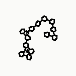 c1ccc(-c2ccccc2-c2ccc(-c3cccc(-c4cccc(-c5ccc(-c6ccc(-n7c8ccccc8c8cc(-c9ccc%10c(c9)c9ccccc9n%10-c9ccccc9-c9ccccc9)ccc87)cc6)cc5)c4)c3)cc2)cc1